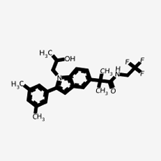 Cc1cc(C)cc(-c2cc3cc(C(C)(C)C(=O)NCC(F)(F)F)ccc3n2CC(C)O)c1